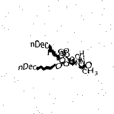 CCCCCCCCCCCCCCCCOC(OCCCCCCCCCCCCCCCC)OC1C[C@H](n2cc(C)c(=O)[nH]c2=O)O[C@@H]1COS(C)(=O)=O